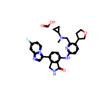 CN(Cc1nc(Nc2ccc(-c3cnc4cc(F)ccn34)c3c2C(=O)NC3)ccc1C1CCOC1)C1CC1.O=CO